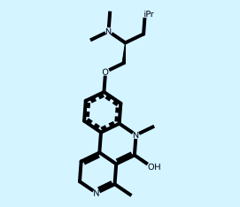 CC1=NCC=C2C1=C(O)N(C)c1cc(OC[C@H](CC(C)C)N(C)C)ccc12